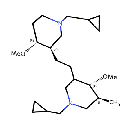 CO[C@@H]1CCN(CC2CC2)C[C@H]1CCC1CN(CC2CC2)C[C@H](C)[C@H]1OC